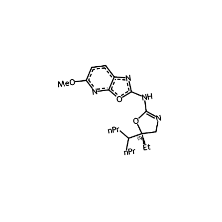 CCCC(CCC)[C@@]1(CC)CN=C(Nc2nc3ccc(OC)nc3o2)O1